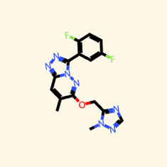 Cc1cc2nnc(-c3cc(F)ccc3F)n2nc1OCc1ncnn1C